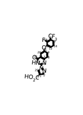 O=C(O)c1cnn(-c2nc3ccc(Oc4cccc(C(F)(F)F)c4F)cc3c(=O)[nH]2)c1